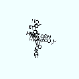 CCc1cc(O)c(F)cc1-c1cc(F)c2c(-c3nc4c([nH]3)CN(C(=O)CN3CC5(CCOCC5)C3)CC4)n[nH]c2c1.O=C(O)C(O)C(O)C(=O)O